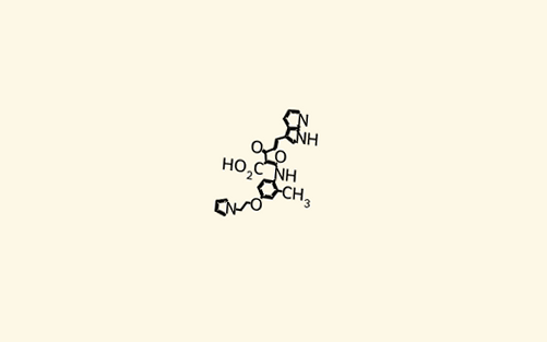 Cc1cc(OCCn2cccc2)ccc1NC1=C(C(=O)O)C(=O)C(=Cc2c[nH]c3ncccc23)O1